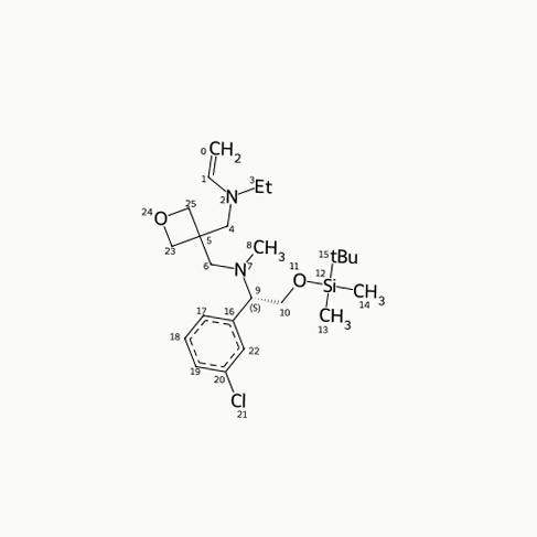 C=CN(CC)CC1(CN(C)[C@H](CO[Si](C)(C)C(C)(C)C)c2cccc(Cl)c2)COC1